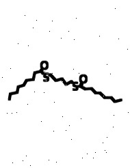 CCCCCCCCC(=O)SCCCCCSC(=O)CCCCCCCC